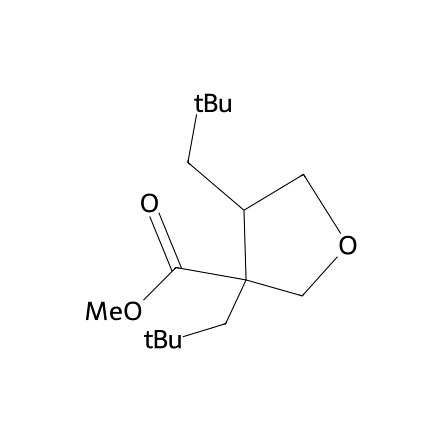 COC(=O)C1(CC(C)(C)C)COCC1CC(C)(C)C